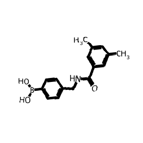 Cc1cc(C)cc(C(=O)NCc2ccc(B(O)O)cc2)c1